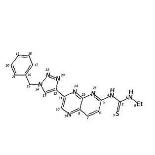 CCNC(=S)Nc1ccc2ncc(-c3cn(Cc4ccccc4)nn3)nc2n1